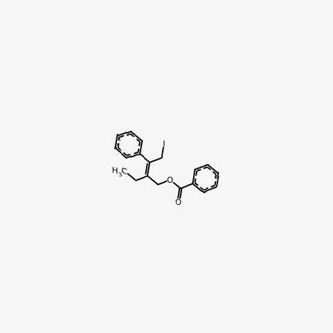 CCC(COC(=O)c1ccccc1)=C(CI)c1ccccc1